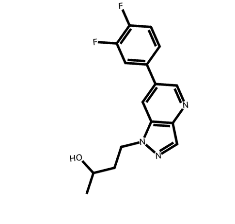 CC(O)CCn1ncc2ncc(-c3ccc(F)c(F)c3)cc21